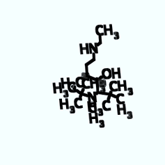 CCNCC[C@@H](C)[C@@H](O)C(N(C)C(C)(C)C)C(C)(C)C